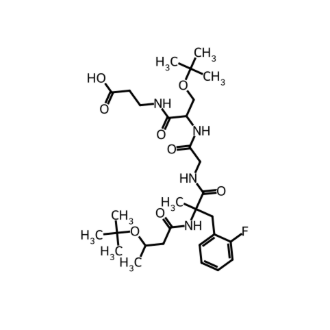 CC(CC(=O)NC(C)(Cc1ccccc1F)C(=O)NCC(=O)NC(COC(C)(C)C)C(=O)NCCC(=O)O)OC(C)(C)C